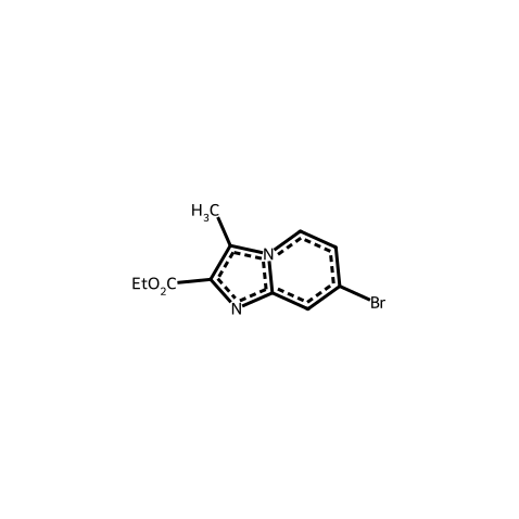 CCOC(=O)c1nc2cc(Br)ccn2c1C